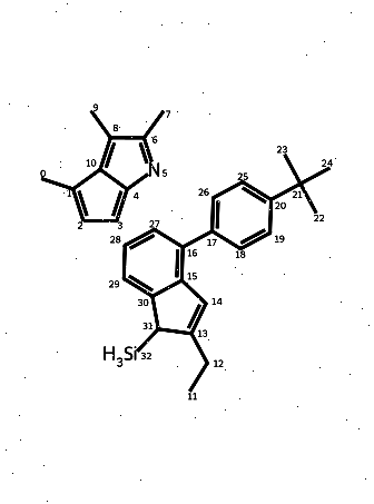 CC1=CC=C2N=C(C)C(C)=C12.CCC1=Cc2c(-c3ccc(C(C)(C)C)cc3)cccc2C1[SiH3]